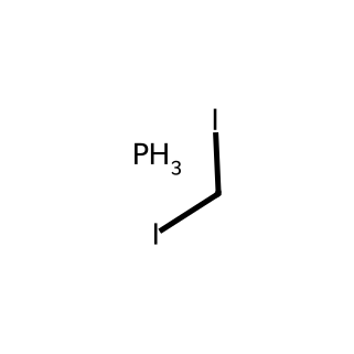 ICI.P